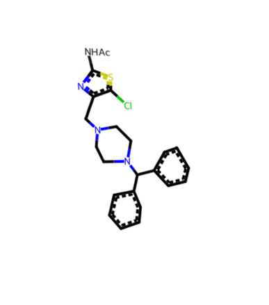 CC(=O)Nc1nc(CN2CCN(C(c3ccccc3)c3ccccc3)CC2)c(Cl)s1